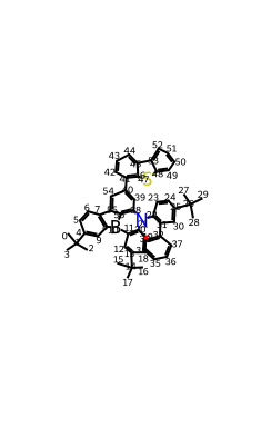 CC(C)(C)c1ccc2c(c1)B1c3cc(C(C)(C)C)ccc3N(c3ccc(C(C)(C)C)cc3-c3ccccc3)c3cc(-c4cccc5c4sc4ccccc45)cc-2c31